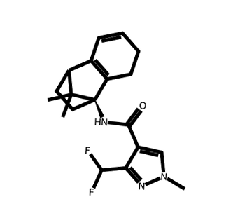 Cn1cc(C(=O)N[C@]23CCC(C4=C2CCC=C4)C3(C)C)c(C(F)F)n1